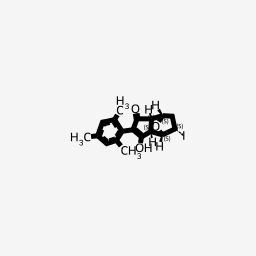 Cc1cc(C)c(C2=C(O)[C@@H]3[C@@H]4O[C@@H](C[C@@H]4I)[C@@H]3C2=O)c(C)c1